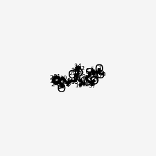 COC(=O)c1csc([C@@H](C[C@H](C(C)C)N(CCCN2Cc3ccccc3C2=O)C(=O)OC(C)(C)C)OC(C)=O)n1